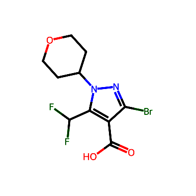 O=C(O)c1c(Br)nn(C2CCOCC2)c1C(F)F